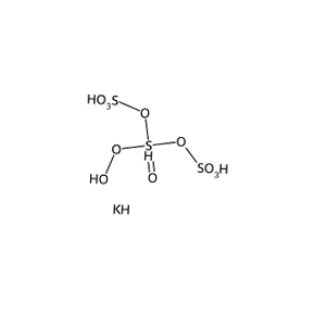 O=S(=O)(O)O[SH](=O)(OO)OS(=O)(=O)O.[KH]